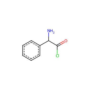 NC(C(=O)Cl)c1ccccc1